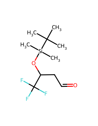 CC(C)(C)[Si](C)(C)OC(CC=O)C(F)(F)F